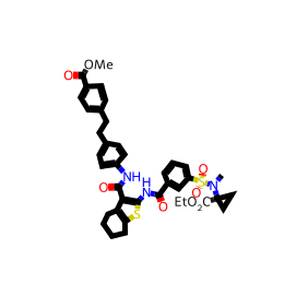 CCOC(=O)C1(N(C)S(=O)(=O)c2cccc(C(=O)Nc3sc4c(c3C(=O)Nc3ccc(CCc5ccc(C(=O)OC)cc5)cc3)CCCC4)c2)CC1